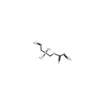 C=CC[N+](C)(C)COC(=O)C=C